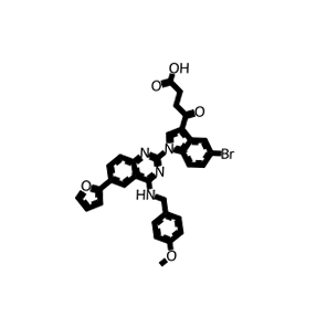 COc1ccc(CNc2nc(-n3cc(C(=O)CCC(=O)O)c4cc(Br)ccc43)nc3ccc(-c4ccco4)cc23)cc1